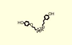 C[Si](C)(CCCOc1ccc(O)cc1)O[Si](C)(C)OCCCc1ccc(O)cc1